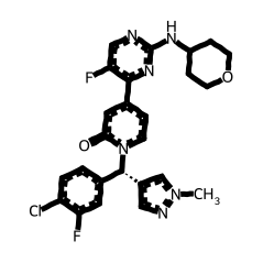 Cn1cc([C@H](c2ccc(Cl)c(F)c2)n2ccc(-c3nc(NC4CCOCC4)ncc3F)cc2=O)cn1